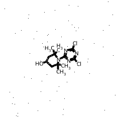 CC1(C)CC(O)CC(C)(C)N1c1nc(Cl)nc(Cl)n1